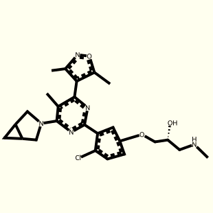 CNC[C@@H](O)COc1ccc(Cl)c(-c2nc(-c3c(C)noc3C)c(C)c(N3CC4CC4C3)n2)c1